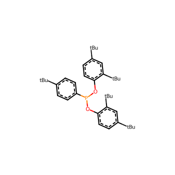 CC(C)(C)c1ccc(P(Oc2ccc(C(C)(C)C)cc2C(C)(C)C)Oc2ccc(C(C)(C)C)cc2C(C)(C)C)cc1